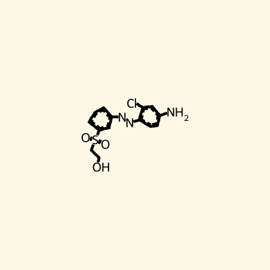 Nc1ccc(/N=N/c2cccc(S(=O)(=O)CCO)c2)c(Cl)c1